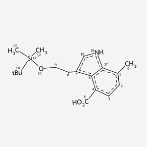 Cc1ccc(C(=O)O)c2c(CCO[Si](C)(C)C(C)(C)C)c[nH]c12